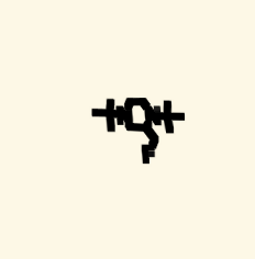 CC(C)(C)N1CCN(C(C)(C)C)C(CF)C1